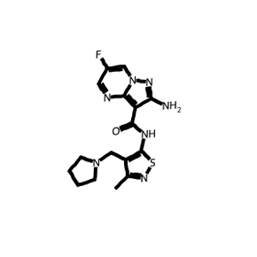 Cc1nsc(NC(=O)c2c(N)nn3cc(F)cnc23)c1CN1CCCC1